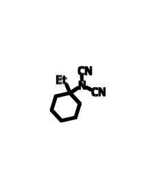 CCC1(N(C#N)C#N)CCCCC1